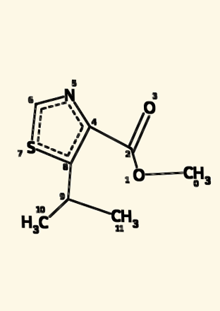 COC(=O)c1ncsc1C(C)C